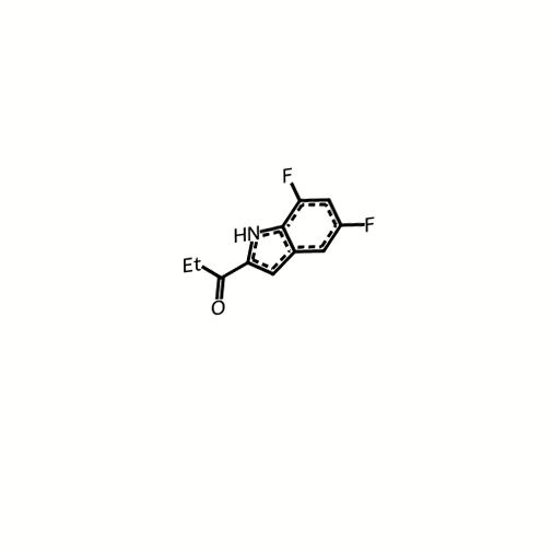 CCC(=O)c1cc2cc(F)cc(F)c2[nH]1